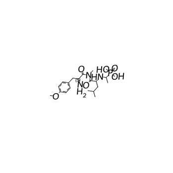 COc1ccc(C[C@H](N)C(=O)N(C)C(=O)C(CC(C)C)NC(C)P(=O)(O)O)cc1